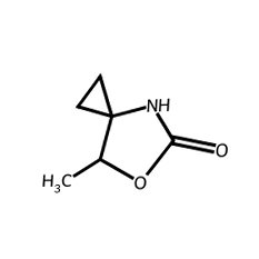 CC1OC(=O)NC12CC2